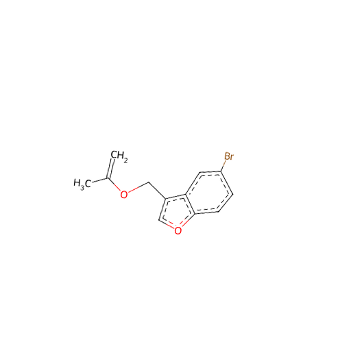 C=C(C)OCc1coc2ccc(Br)cc12